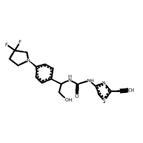 C#Cc1nc(NC(=O)NC(CO)c2ccc(N3CCC(F)(F)C3)cc2)cs1